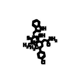 CNC(=S)[C@H](Cc1c[nH]c2ccccc12)N(O)C(=O)C(CC(N)=O)C[C@@H](C)c1ccc(Cl)cc1